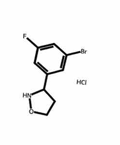 Cl.Fc1cc(Br)cc(C2CCON2)c1